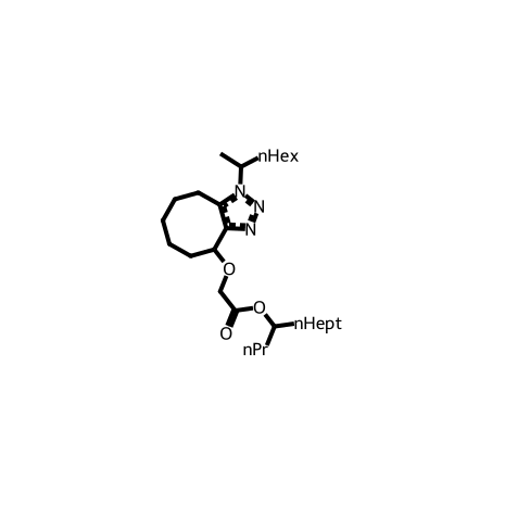 CCCCCCCC(CCC)OC(=O)COC1CCCCCc2c1nnn2C(C)CCCCCC